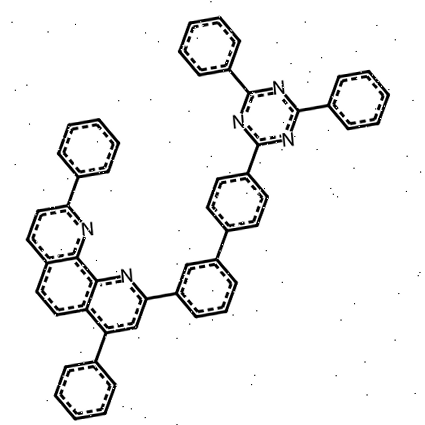 c1ccc(-c2ccc3ccc4c(-c5ccccc5)cc(-c5cccc(-c6ccc(-c7nc(-c8ccccc8)nc(-c8ccccc8)n7)cc6)c5)nc4c3n2)cc1